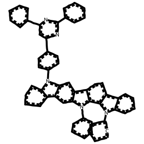 c1ccc(-c2cc(-c3ccc(-n4c5ccccc5c5cc6c(cc54)c4ccc5c7ccccc7n(-c7ccccc7)c5c4n6-c4ccccc4)cc3)nc(-c3ccccc3)n2)cc1